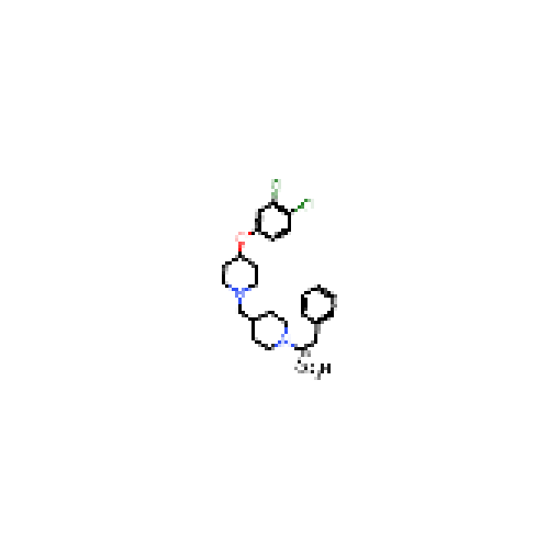 O=C(O)[C@@H](Cc1ccccc1)N1CCC(CN2CCC(Oc3ccc(Cl)c(Cl)c3)CC2)CC1